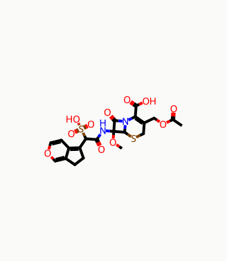 COC1(NC(=O)C(C2=C3C=COC=C3CC2)S(=O)(=O)O)C(=O)N2C(C(=O)O)=C(COC(C)=O)CSC21